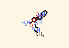 Cc1cnc(CNC(=O)c2ccc(N3C4CCC3CC(NC(=O)c3ccc(C(N)=O)cc3)C4)nc2)cn1